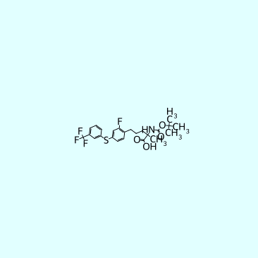 CC(C)(C)OC(=O)NC(C)(CCCc1ccc(Sc2cccc(C(F)(F)F)c2)cc1F)C(=O)O